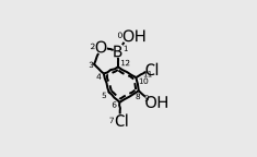 OB1OCc2cc(Cl)c(O)c(Cl)c21